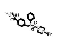 CC(C)N1CCN(S(=O)(=O)N(Cc2ccc(C(=O)NN)cc2)c2ccccc2)CC1